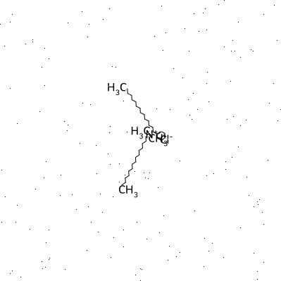 CCCCCCCCCCCCCCCC[N+](C)(C)C(CCCCCCCCCCCCCC)c1ccccc1.[Cl-]